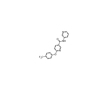 O=C(Nc1cccnc1)c1ccc(Oc2ccc(C(F)(F)F)cc2)nc1